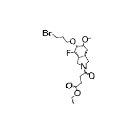 CCOC(=O)CCC(=O)N1Cc2cc(OC)c(OCCCBr)c(F)c2C1